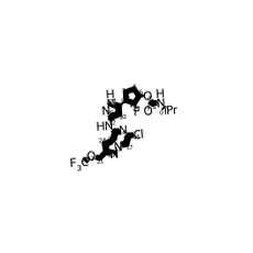 CC(C)NC(=O)O[C@@H]1CC[C@H](c2cc(Nc3nc(Cl)cn4nc(COC(F)(F)F)cc34)n[nH]2)[C@H]1F